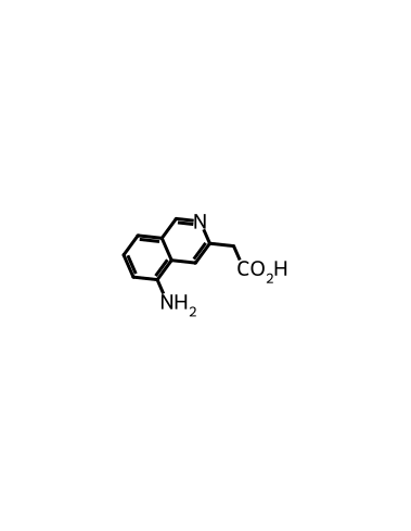 Nc1cccc2cnc(CC(=O)O)cc12